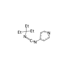 CCC(CC)(CC)N=C=Nc1ccncc1